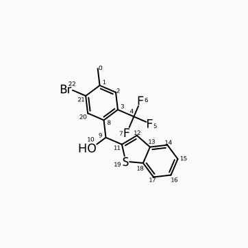 Cc1cc(C(F)(F)F)c(C(O)c2cc3ccccc3s2)cc1Br